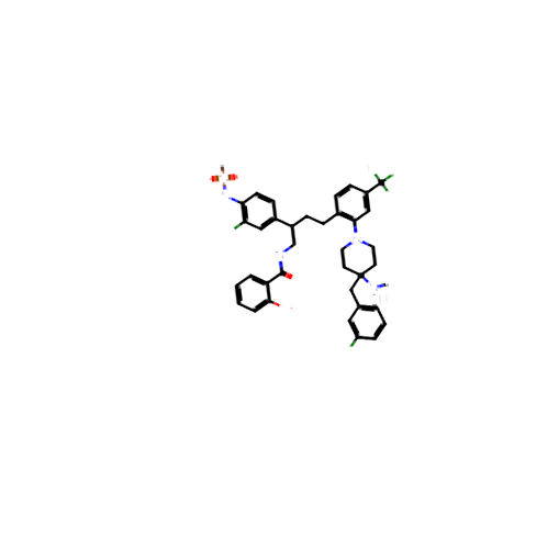 CN(C)C1(Cc2cccc(F)c2)CCN(c2cc(C(F)(F)F)ccc2CCC(CNC(=O)c2ccccc2O)c2ccc(NS(C)(=O)=O)c(F)c2)CC1